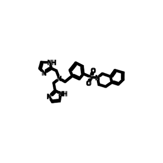 O=S(=O)(c1cccc(CN(Cc2ncc[nH]2)Cc2ncc[nH]2)c1)N1CCc2ccccc2C1